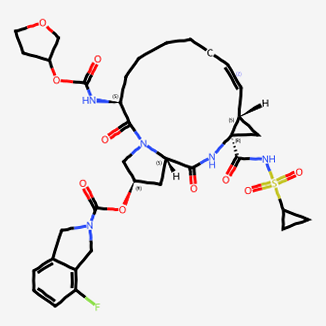 O=C(N[C@H]1CCCCC/C=C\[C@@H]2C[C@@]2(C(=O)NS(=O)(=O)C2CC2)NC(=O)[C@@H]2C[C@@H](OC(=O)N3Cc4cccc(F)c4C3)CN2C1=O)OC1CCOC1